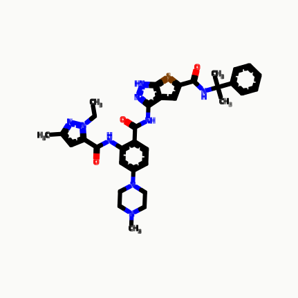 CCn1nc(C)cc1C(=O)Nc1cc(N2CCN(C)CC2)ccc1C(=O)Nc1n[nH]c2sc(C(=O)NC(C)(C)c3ccccc3)cc12